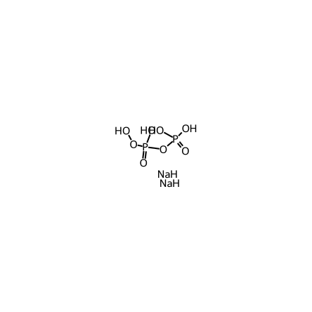 O=P(O)(O)OP(=O)(O)OO.[NaH].[NaH]